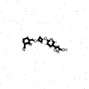 N#Cc1cccc(CO[C@H]2C[C@@H](Oc3ccc(-c4cc(O)no4)cn3)C2)c1F